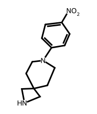 O=[N+]([O-])c1ccc(N2CCC3(CC2)CNC3)cc1